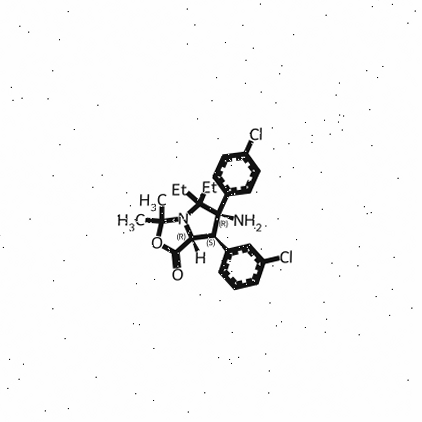 CCC1(CC)N2[C@@H](C(=O)OC2(C)C)[C@H](c2cccc(Cl)c2)[C@@]1(N)c1ccc(Cl)cc1